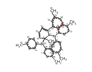 Cc1ccc(N(c2ccc(C)cc2)C2C(c3cccc(C)c3)=CC=CC2(C)N(c2ccc(C)cc2)c2ccc(C)cc2)cc1